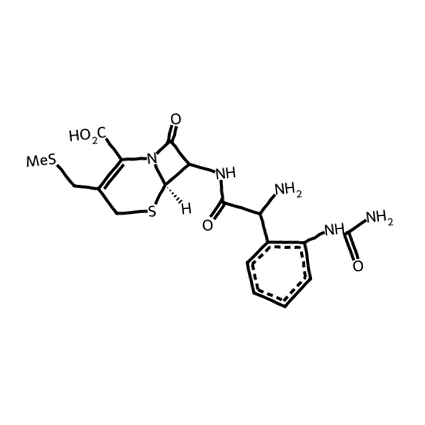 CSCC1=C(C(=O)O)N2C(=O)C(NC(=O)C(N)c3ccccc3NC(N)=O)[C@H]2SC1